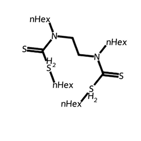 CCCCCC[SH2]C(=S)N(CCCCCC)CCN(CCCCCC)C(=S)[SH2]CCCCCC